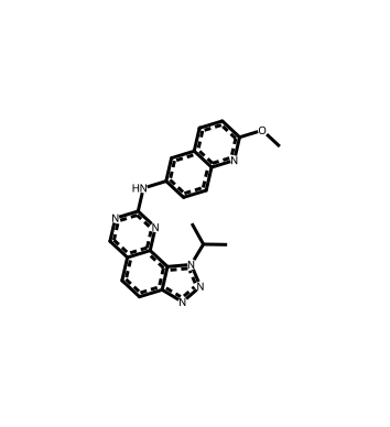 COc1ccc2cc(Nc3ncc4ccc5nnn(C(C)C)c5c4n3)ccc2n1